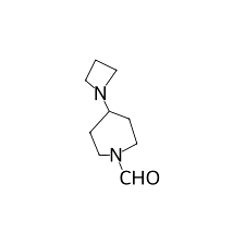 O=CN1CCC(N2CCC2)CC1